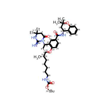 CCC1(CC)CC(=O)N([C@@H]2C[C@@H]([C@@H](C)CCCCCNC(=O)OC(C)(C)C)Oc3ccc(C(=O)N[C@H]4CC(C)(C)Oc5ccccc54)cc32)C(=N)N1